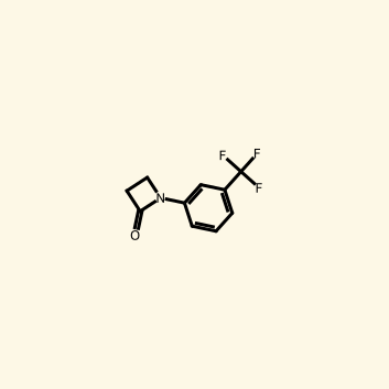 O=C1CCN1c1cccc(C(F)(F)F)c1